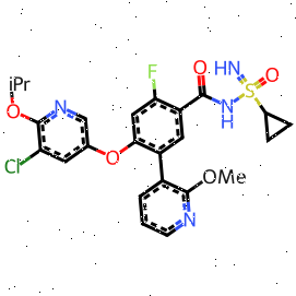 COc1ncccc1-c1cc(C(=O)NS(=N)(=O)C2CC2)c(F)cc1Oc1cnc(OC(C)C)c(Cl)c1